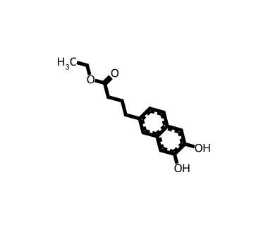 CCOC(=O)CCCc1ccc2cc(O)c(O)cc2c1